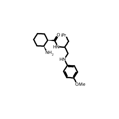 COc1ccc(NCC(CC(C)C)NC(=O)[C@@H]2CCCC[C@@H]2N)cc1